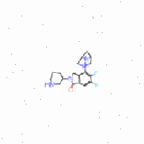 O=C1c2cc(F)c(F)c(N3CC4CC(C3)N4)c2CN1C1CCCNC1